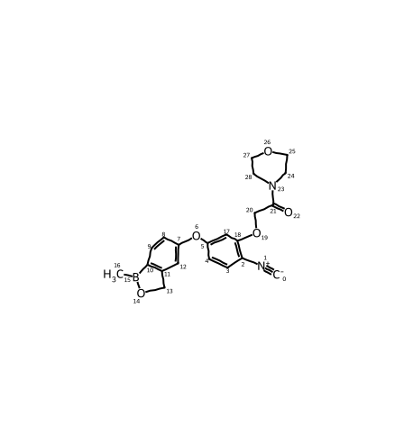 [C-]#[N+]c1ccc(Oc2ccc3c(c2)COB3C)cc1OCC(=O)N1CCOCC1